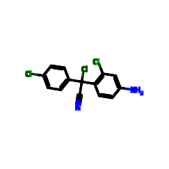 N#CC(Cl)(c1ccc(Cl)cc1)c1ccc(N)cc1Cl